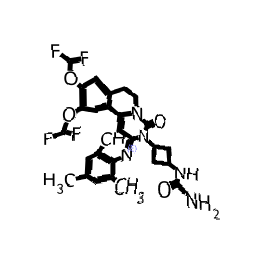 Cc1cc(C)c(/N=c2\cc3n(c(=O)n2C2CC(NC(N)=O)C2)CCc2cc(OC(F)F)c(OC(F)F)cc2-3)c(C)c1